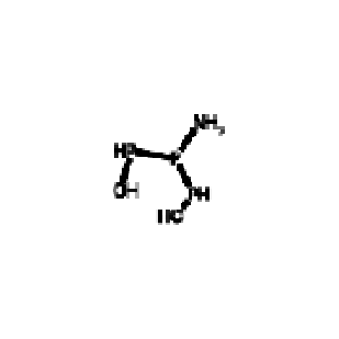 NP(PO)PO